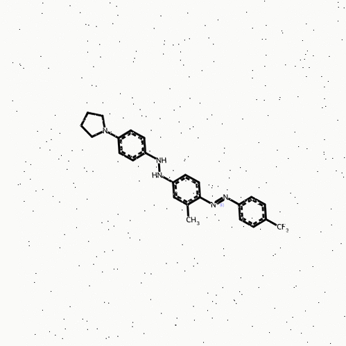 Cc1cc(NNc2ccc(N3CCCC3)cc2)ccc1/N=N/c1ccc(C(F)(F)F)cc1